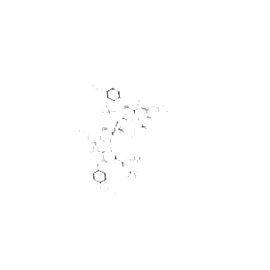 CN[C@@H](CC(C)(C)F)C(=O)O[C@H](Cc1ccc(C(C)(C)C)cc1)C(=O)N(C)[C@@H](CC(C)(C)C)C(=O)O[C@H](C)C(=O)N(C)[C@@H](CC(C)(C)F)C(=O)O[C@H](Cc1ccc(C(C)(C)C)cc1)C(=O)N(C)[C@@H](CC(C)(C)C)C(=O)O[C@H](C)C(=O)O